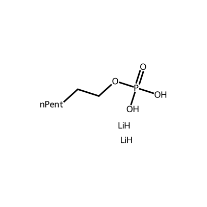 CCCCCCCOP(=O)(O)O.[LiH].[LiH]